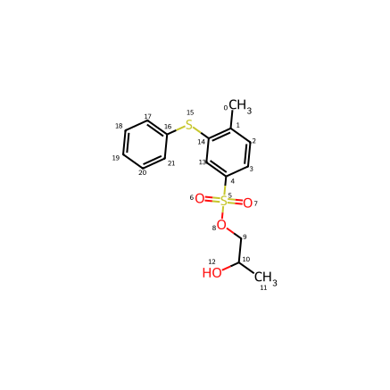 Cc1ccc(S(=O)(=O)OCC(C)O)cc1Sc1ccccc1